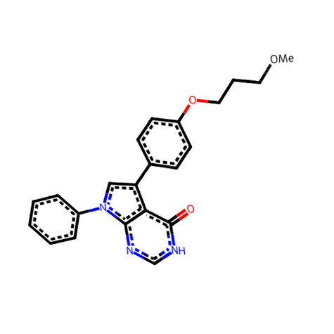 COCCCOc1ccc(-c2cn(-c3ccccc3)c3nc[nH]c(=O)c23)cc1